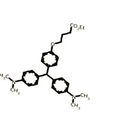 CCOC(=O)CCCOc1ccc(C(c2ccc(N(C)C)cc2)c2ccc(N(C)C)cc2)cc1